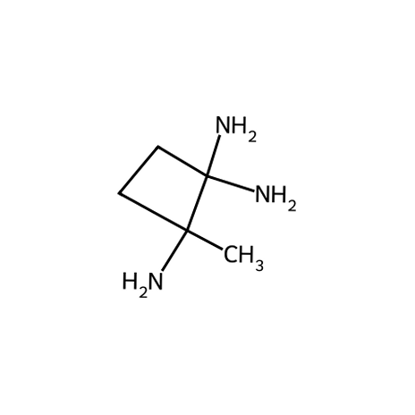 CC1(N)CCC1(N)N